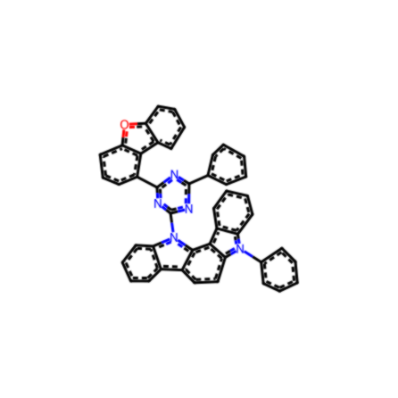 c1ccc(-c2nc(-c3cccc4oc5ccccc5c34)nc(-n3c4ccccc4c4ccc5c(c6ccccc6n5-c5ccccc5)c43)n2)cc1